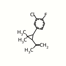 C=C(C)C1C(c2ccc(F)c(Cl)c2)C1(C)C